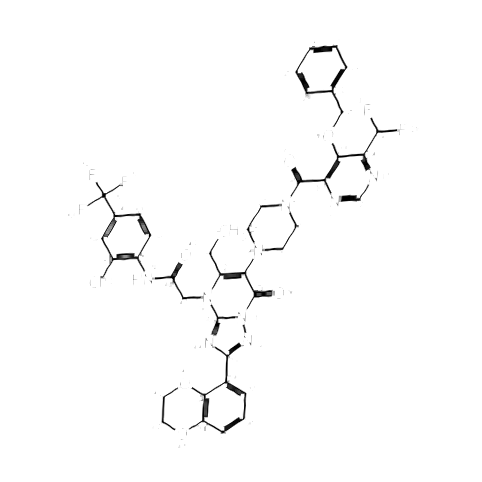 CCc1c(N2CCN(C(=O)c3ncnc(C(F)F)c3OCc3ccccc3)CC2)c(=O)n2nc(-c3cccc4c3OCCO4)nc2n1CC(=O)Nc1ccc(C(F)(F)F)cc1Cl